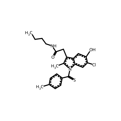 CCCCNC(=O)Cc1c(C)n(C(=S)c2ccc(C)cc2)c2cc(Cl)c(O)cc12